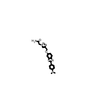 CN(C)c1ccc(-c2nc3ccc(OCc4cn(CC(N)=O)nn4)cc3s2)cc1